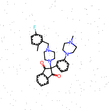 Cc1ccc(F)cc1CN1CCN(C2(c3cccc(N4CCN(C)CC4)c3)C(=O)c3ccccc3C2=O)CC1